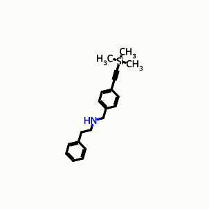 C[Si](C)(C)C#Cc1ccc(CNCCc2ccccc2)cc1